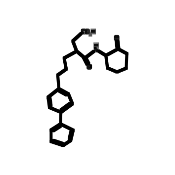 O=C(O)CC(CCCc1ccc(-c2ccccc2)cc1)C(=O)NC1CCCCC1=O